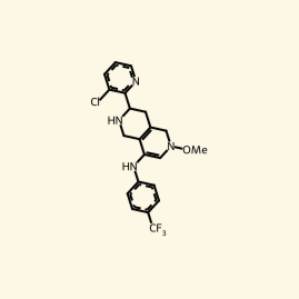 CON1C=C(Nc2ccc(C(F)(F)F)cc2)C2=C(CC(c3ncccc3Cl)NC2)C1